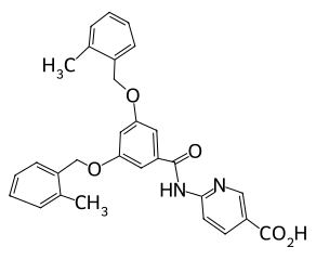 Cc1ccccc1COc1cc(OCc2ccccc2C)cc(C(=O)Nc2ccc(C(=O)O)cn2)c1